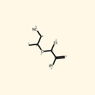 C=C(C(C)C)C(CC)OC(C)CC#N